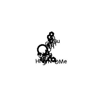 COc1ccc2c(O[C@@H]3C[C@H]4C(=O)N[C@]5(C(=O)O)CC5CCCCCCC[C@H](NC(=O)N[C@H](CN5CCc6ccccc6S5(=O)=O)C(C)(C)C)C(=O)N4C3)cc(-c3csc(NC(C)C)n3)nc2c1